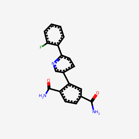 NC(=O)c1ccc(C(N)=O)c(-c2ccc(-c3ccccc3F)nc2)c1